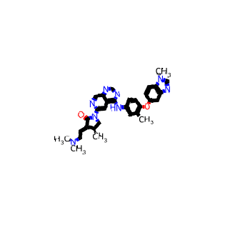 Cc1cc(Nc2ncnc3cnc(N4C[C@@H](C)/C(=C\CN(C)C)C4=O)cc23)ccc1Oc1ccc2c(c1)ncn2C